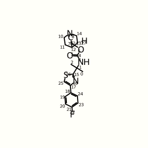 CC(C)(NC(=O)O[C@@H]1CN2CCC1CC2)c1nc(-c2ccc(F)cc2)cs1